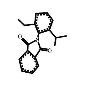 CCc1cccc(C(C)C)c1N1C(=O)c2ccccc2C1=O